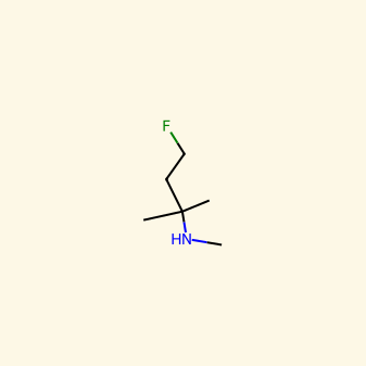 CNC(C)(C)CCF